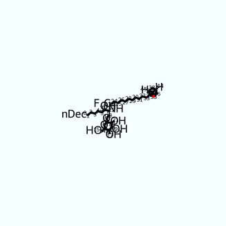 CCCCCCCCCCCCCCC[C@@H](O)[C@H](COC1OC(CO)C(O)C(O)C1O)NC(CCCCCCCCCCC1=CC[C@H]2C[C@@H]1C2(C)C)C(F)(F)F